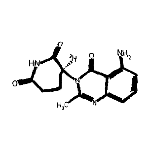 [2H][C@]1(n2c(C)nc3cccc(N)c3c2=O)CCC(=O)NC1=O